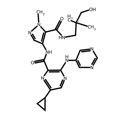 Cn1ncc(NC(=O)c2nc(C3CC3)cnc2Nc2cncnc2)c1C(=O)NCC(C)(C)CO